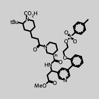 COC(=O)CC(NC(=O)[C@@H]1CCCN(C(=O)CCC2CCN(C(=O)O)C(C(C)(C)C)C2)C1)c1cncc(-c2ccccc2OCCOS(=O)(=O)c2ccc(C)cc2)c1